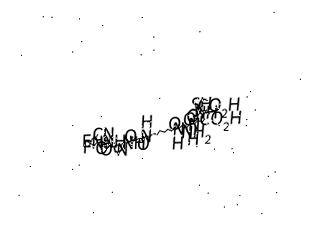 C[C@@H](NC(=O)c1ccnc(CNC(=O)CCC(=O)NCCCCCCCC(=O)NCC(N)C(=O)NC(CC(=O)O)C(=O)NC(CS)C(=O)O)c1)C(=O)N1CC(F)(F)CC1C#N